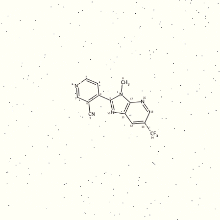 Cn1c(-c2ccncc2C#N)nc2cc(C(F)(F)F)cnc21